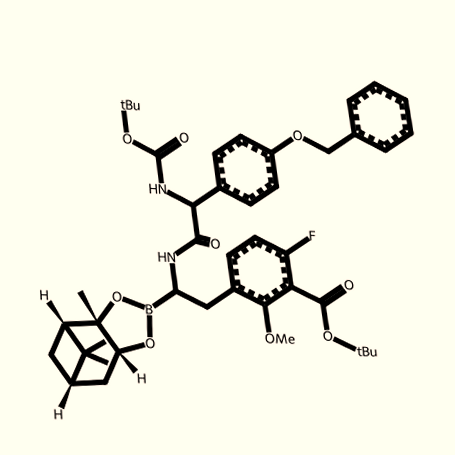 COc1c(CC(NC(=O)C(NC(=O)OC(C)(C)C)c2ccc(OCc3ccccc3)cc2)B2O[C@@H]3C[C@@H]4C[C@@H](C4(C)C)[C@]3(C)O2)ccc(F)c1C(=O)OC(C)(C)C